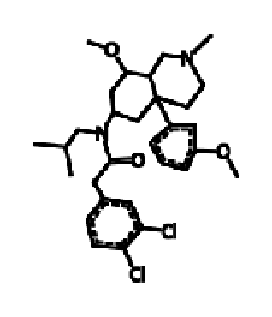 COc1cccc(C23CCN(C)CC2C(OC)CC(N(CC(C)C)C(=O)Cc2ccc(Cl)c(Cl)c2)C3)c1